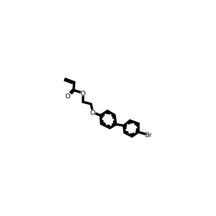 C=CC(=O)OCCOc1ccc(-c2ccc(Br)cc2)cc1